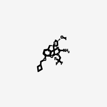 NC1=NC2(C(=O)N1CC(F)(F)F)c1cc(OCC3CCC3)ccc1C[C@]21CC[C@@H](OI)CC1